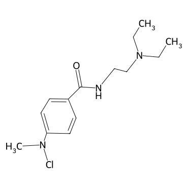 CCN(CC)CCNC(=O)c1ccc(N(C)Cl)cc1